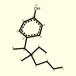 CCCCC(C)(CC)C(C)c1ccc(O)cc1